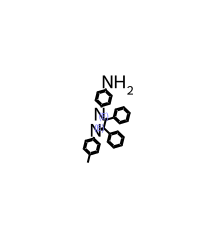 Cc1ccc(/N=C(/C(=N/c2ccc(N)cc2)c2ccccc2)c2ccccc2)cc1